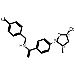 C=C(NCc1ccc(Cl)cc1)c1ccc([C@@H]2O[C@@H](CC)C[C@H]2C)cc1